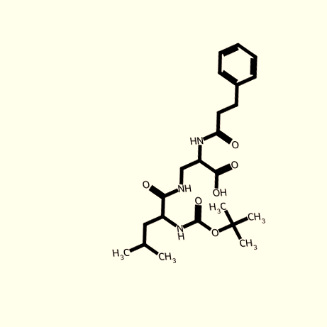 CC(C)CC(NC(=O)OC(C)(C)C)C(=O)NCC(NC(=O)CCc1ccccc1)C(=O)O